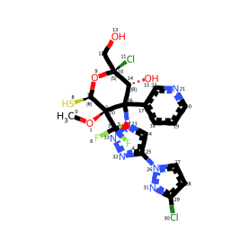 CO[C@@]1(C(F)(F)F)[C@@H](S)O[C@](Cl)(CO)[C@H](O)C1(c1cccnc1)n1cc(-n2ccc(Cl)n2)nn1